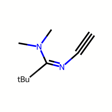 C#C/N=C(\N(C)C)C(C)(C)C